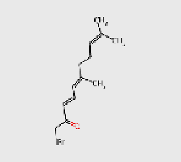 CC(C)=CCC/C(C)=C/C=C/C(=O)CC(C)C